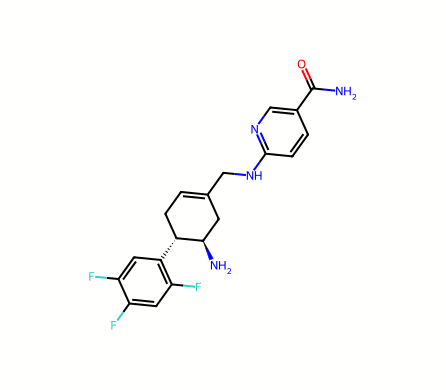 NC(=O)c1ccc(NCC2=CC[C@@H](c3cc(F)c(F)cc3F)[C@H](N)C2)nc1